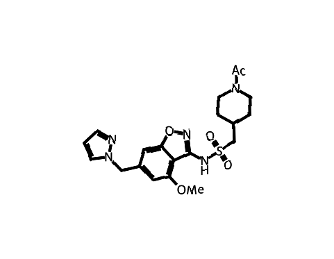 COc1cc(Cn2cccn2)cc2onc(NS(=O)(=O)CC3CCN(C(C)=O)CC3)c12